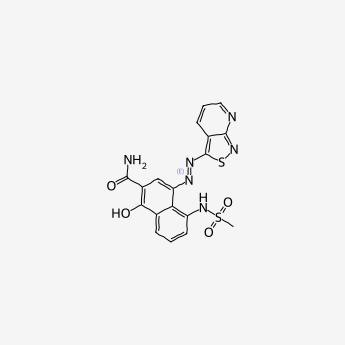 CS(=O)(=O)Nc1cccc2c(O)c(C(N)=O)cc(/N=N/c3snc4ncccc34)c12